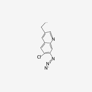 [CH2]Cc1cnc2cc(N=[N+]=[N-])c(Cl)cc2c1